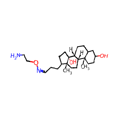 C[C@]12CCC(O)CC1CC[C@@H]1[C@H]2CC[C@]2(C)C(CC/C=N\OCCN)CC[C@@]12O